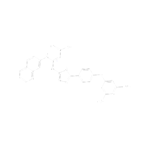 CSc1nc(N)cc(Oc2ccc(-c3nnc(N/C(=C/C(=N)C(C)(C)C)Nc4ccc5cccnc5c4)[nH]3)cc2)n1